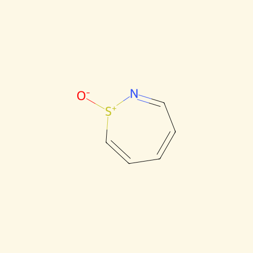 [O-][S+]1C=CC=CC=N1